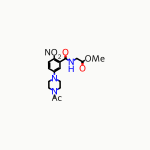 COC(=O)CNC(=O)c1cc(N2CCN(C(C)=O)CC2)ccc1[N+](=O)[O-]